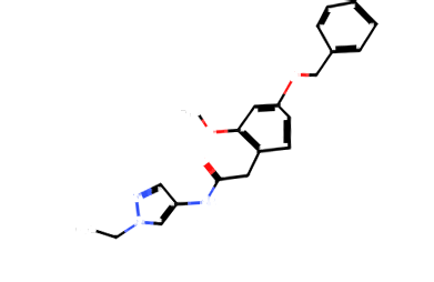 CCn1cc(NC(=O)Cc2ccc(OCc3ccccc3)cc2OC)cn1